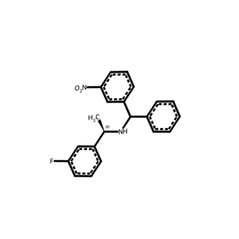 C[C@@H](NC(c1ccccc1)c1cccc([N+](=O)[O-])c1)c1cccc(F)c1